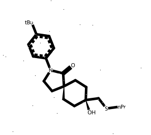 CCCSC[C@]1(O)CC[C@]2(CCN(c3ccc(C(C)(C)C)cc3)C2=O)CC1